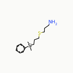 C[Si](C)(CCCSCCCN)c1ccccc1